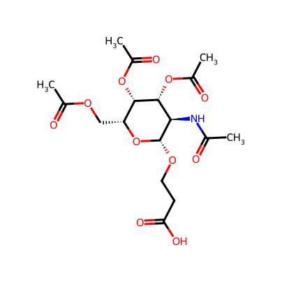 CC(=O)N[C@H]1[C@H](OCCC(=O)O)O[C@H](COC(C)=O)[C@H](OC(C)=O)[C@@H]1OC(C)=O